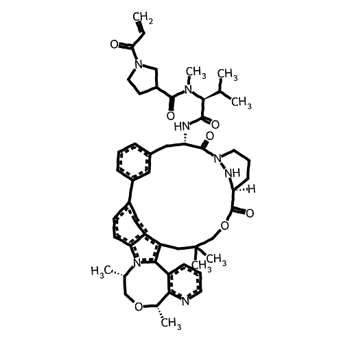 C=CC(=O)N1CCC(C(=O)N(C)[C@H](C(=O)N[C@H]2Cc3cccc(c3)-c3ccc4c(c3)c(c3n4[C@@H](C)CO[C@@H](C)c4ncccc4-3)CC(C)(C)COC(=O)[C@@H]3CCCN(N3)C2=O)C(C)C)C1